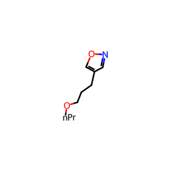 [CH2]CCOCCCc1cnoc1